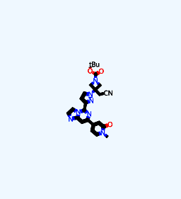 Cn1ccc(-c2cc3nccn3c(-c3ccn(C4(CC#N)CN(C(=O)OC(C)(C)C)C4)n3)n2)cc1=O